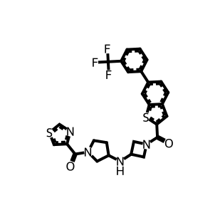 O=C(c1cscn1)N1CCC(NC2CN(C(=O)c3cc4ccc(-c5cccc(C(F)(F)F)c5)cc4s3)C2)C1